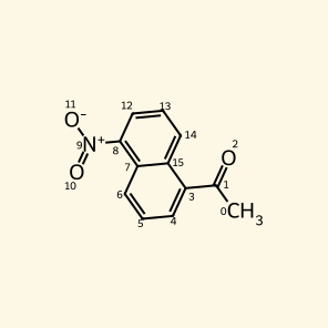 CC(=O)c1cccc2c([N+](=O)[O-])cccc12